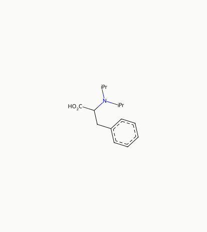 CC(C)N(C(C)C)C(Cc1ccccc1)C(=O)O